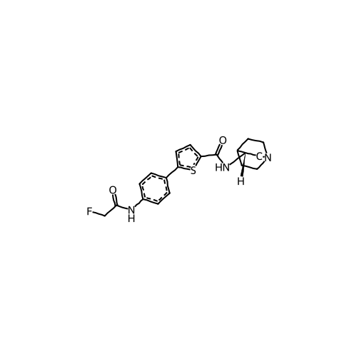 O=C(CF)Nc1ccc(-c2ccc(C(=O)N[C@H]3CN4CCC3CC4)s2)cc1